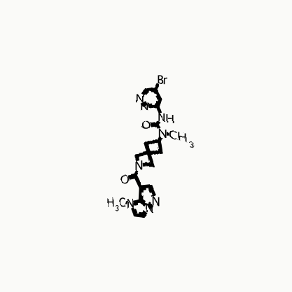 CN(C(=O)Nc1cc(Br)cnn1)C1CC2(C1)CN(C(=O)c1cnn3ccn(C)c13)C2